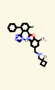 CCC1(CNCc2cc(C(F)(F)F)c3oc(-c4c(F)ccc(-c5ccccc5)c4-c4nncn4C)nc3c2)CCC1